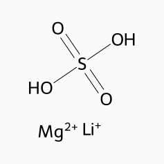 O=S(=O)(O)O.[Li+].[Mg+2]